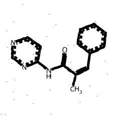 CC(=Cc1ccccc1)C(=O)Nc1ccncn1